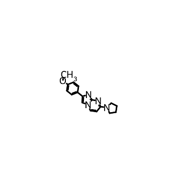 COc1ccc(-c2cn3ccc(N4CCCC4)nc3n2)cc1